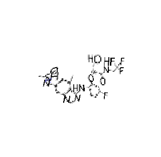 Cc1cc(/N=[SH](/C)=O)cc2ncnc(Nc3ccc(F)cc3O[C@H](CO)C(=O)NCC(F)(F)F)c12